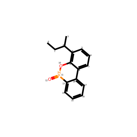 CCC(C)c1cccc2c1O[PH](=O)c1ccccc1-2